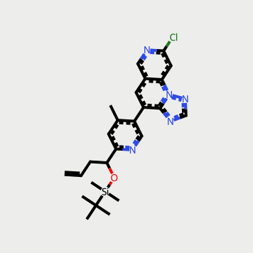 C=CCC(O[Si](C)(C)C(C)(C)C)c1cc(C)c(-c2cc3cnc(Cl)cc3n3ncnc23)cn1